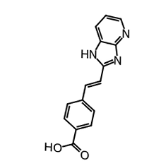 O=C(O)c1ccc(C=Cc2nc3ncccc3[nH]2)cc1